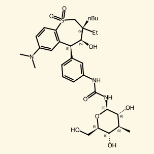 CCCC[C@]1(CC)CS(=O)(=O)c2ccc(N(C)C)cc2[C@H](c2cccc(NC(=O)N[C@@H]3O[C@H](CO)[C@@H](O)[C@H](C)[C@H]3O)c2)[C@@H]1O